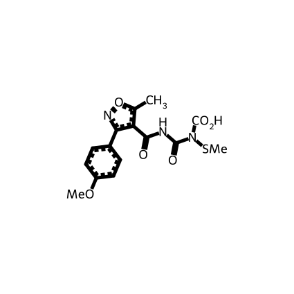 COc1ccc(-c2noc(C)c2C(=O)NC(=O)N(SC)C(=O)O)cc1